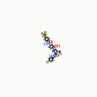 O=C(Nc1ccc(-c2cc(C3CC3)n(C(=O)NCc3ccc(F)cc3)n2)c(O)c1)c1ccc(OC(F)(F)F)cc1